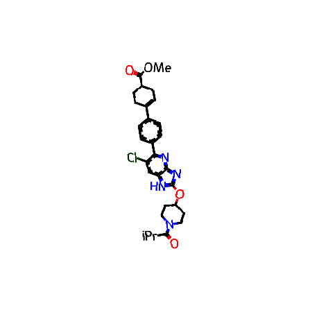 COC(=O)C1CC=C(c2ccc(-c3nc4nc(OC5CCN(C(=O)C(C)C)CC5)[nH]c4cc3Cl)cc2)CC1